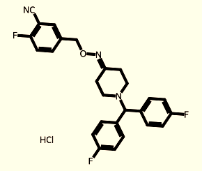 Cl.N#Cc1cc(CON=C2CCN(C(c3ccc(F)cc3)c3ccc(F)cc3)CC2)ccc1F